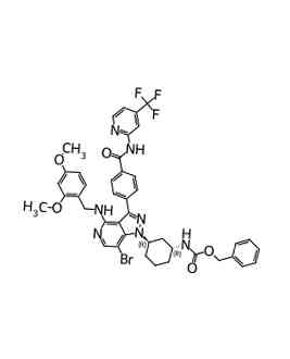 COc1ccc(CNc2ncc(Br)c3c2c(-c2ccc(C(=O)Nc4cc(C(F)(F)F)ccn4)cc2)nn3[C@@H]2CCC[C@@H](NC(=O)OCc3ccccc3)C2)c(OC)c1